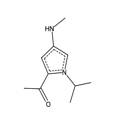 CNc1cc(C(C)=O)n(C(C)C)c1